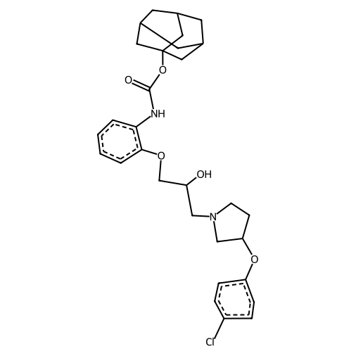 O=C(Nc1ccccc1OCC(O)CN1CCC(Oc2ccc(Cl)cc2)C1)OC12CC3CC(CC(C3)C1)C2